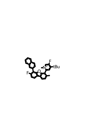 Cc1ccc2c(oc3c(-c4ccc5ccccc5c4)c(F)ccc32)c1-c1cc(C(C)(C)C)c(F)c[n+]1C